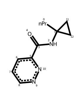 CCCC1(NC(=O)c2cccnn2)CC1